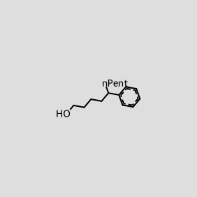 CCCCCC(CCCCO)c1ccccc1